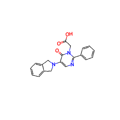 O=C(O)Cn1c(-c2ccccc2)ncc(N2Cc3ccccc3C2)c1=O